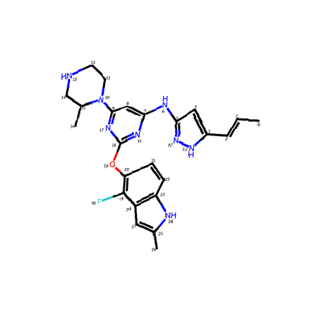 C/C=C/c1cc(Nc2cc(N3CCNCC3C)nc(Oc3ccc4[nH]c(C)cc4c3F)n2)n[nH]1